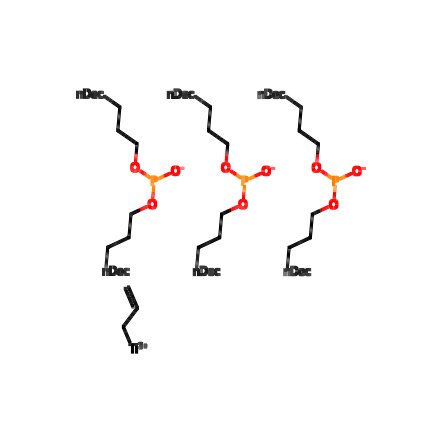 C=C[CH2][Ti+3].CCCCCCCCCCCCCOP([O-])OCCCCCCCCCCCCC.CCCCCCCCCCCCCOP([O-])OCCCCCCCCCCCCC.CCCCCCCCCCCCCOP([O-])OCCCCCCCCCCCCC